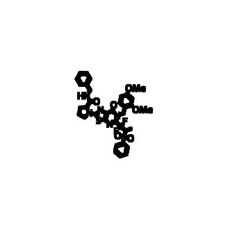 COc1ccc(Cn2c(C(F)(F)C(C)S(=O)(=O)c3ccccc3)nc3sc(N4CCCC4C(=O)NCc4ccccc4)nc3c2=O)c(OC)c1